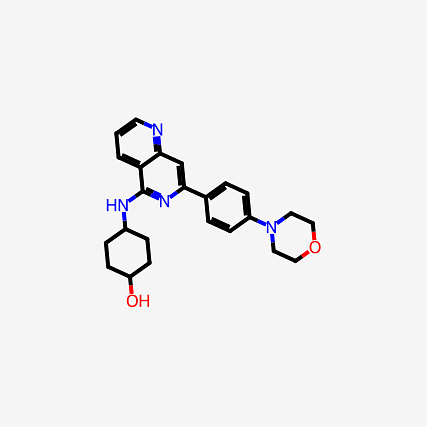 OC1CCC(Nc2nc(-c3ccc(N4CCOCC4)cc3)cc3ncccc23)CC1